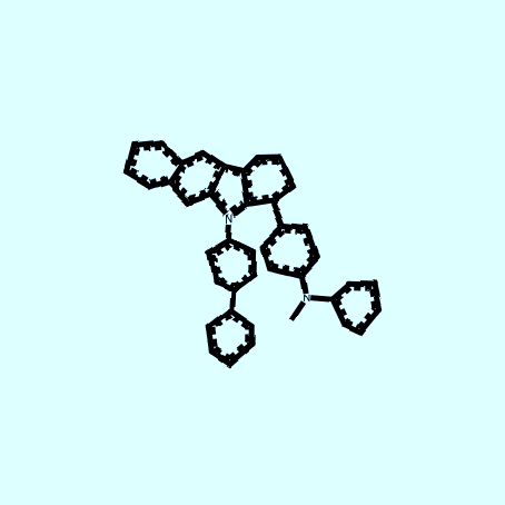 CN(c1ccccc1)c1ccc(-c2cccc3c4cc5ccccc5cc4n(-c4ccc(-c5ccccc5)cc4)c23)cc1